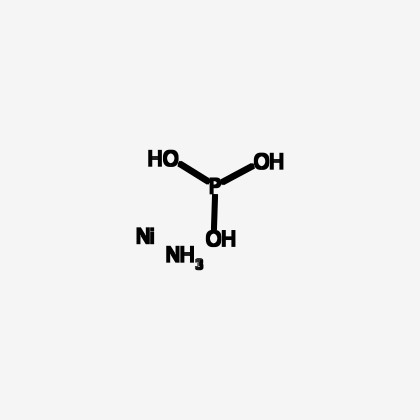 N.OP(O)O.[Ni]